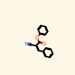 N#CC(=Cc1ccccc1)C(=O)Oc1ccccc1